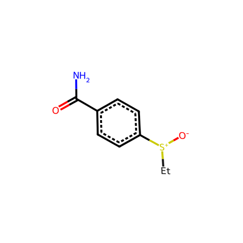 CC[S+]([O-])c1ccc(C(N)=O)cc1